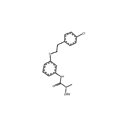 CON(C)C(=O)Nc1cccc(OCCc2ccc(Cl)cc2)c1